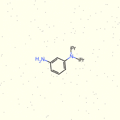 CC(C)N(c1cccc(N)c1)C(C)C